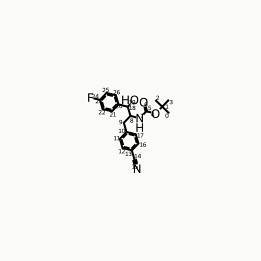 CC(C)(C)OC(=O)NC(Cc1ccc(C#N)cc1)C(O)c1ccc(F)cc1